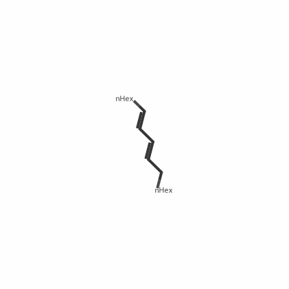 CCCCCCC=CC=CCCCCCCC